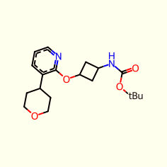 CC(C)(C)OC(=O)NC1CC(Oc2ncccc2C2CCOCC2)C1